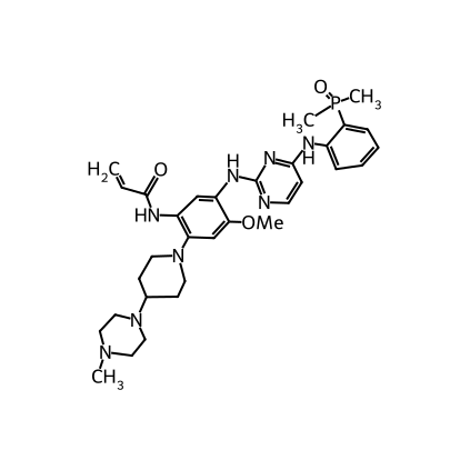 C=CC(=O)Nc1cc(Nc2nccc(Nc3ccccc3P(C)(C)=O)n2)c(OC)cc1N1CCC(N2CCN(C)CC2)CC1